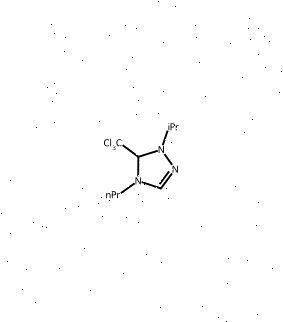 CCCN1C=NN(C(C)C)C1C(Cl)(Cl)Cl